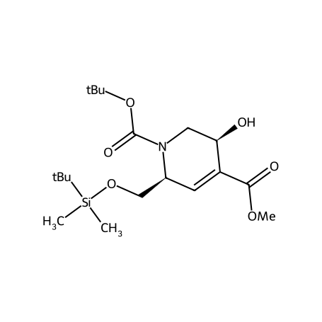 COC(=O)C1=C[C@@H](CO[Si](C)(C)C(C)(C)C)N(C(=O)OC(C)(C)C)C[C@H]1O